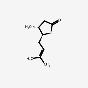 CC(C)=CC[C@@H]1OC(=O)C[C@H]1C